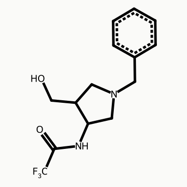 O=C(NC1CN(Cc2ccccc2)CC1CO)C(F)(F)F